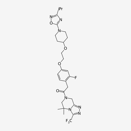 CC(C)c1noc(N2CCC(OCCOc3ccc(CC(=O)N4Cc5nnc(C(F)(F)F)n5C(C)(C)C4)c(F)c3)CC2)n1